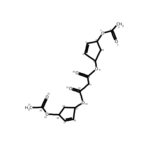 CC(=O)OC1C=CC(OC(=O)CC(=O)OC2C=CC(OC(C)=O)C2)C1